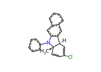 C[C@]12C=CC(Cl)=C[C@@H]1c1cc3ccccc3cc1N2c1ccccc1